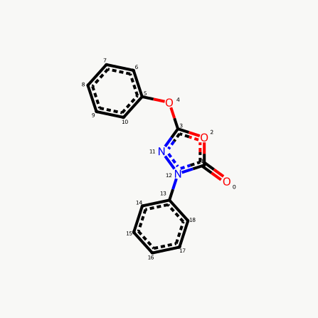 O=c1oc(Oc2ccccc2)nn1-c1ccccc1